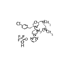 CN(C)CCN(C)C[C@H]1CN(C2CCN(c3ncccn3)CC2)[C@@H](Cc2ccc(Cl)cc2)CO1.O=C(O)C(F)(F)F